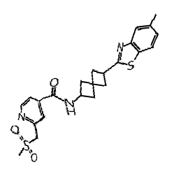 Cc1ccc2sc(C3CC4(CC(NC(=O)c5ccnc(CS(C)(=O)=O)c5)C4)C3)nc2c1